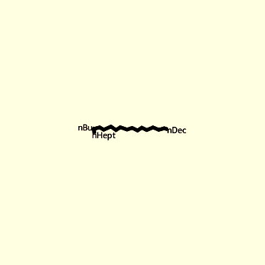 [CH2]CCCC(CCCCCCC)CCCCCCCCCCCCCCCCCCCCCCC